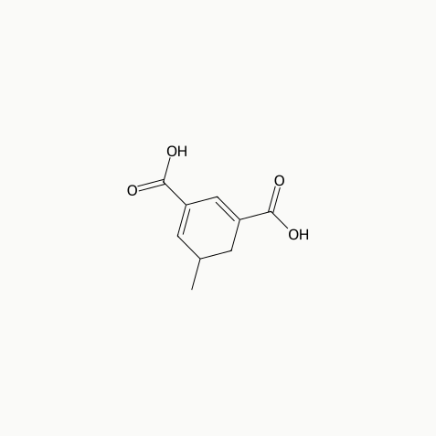 CC1C=C(C(=O)O)C=C(C(=O)O)C1